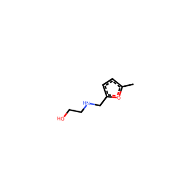 Cc1ccc(CNCCO)o1